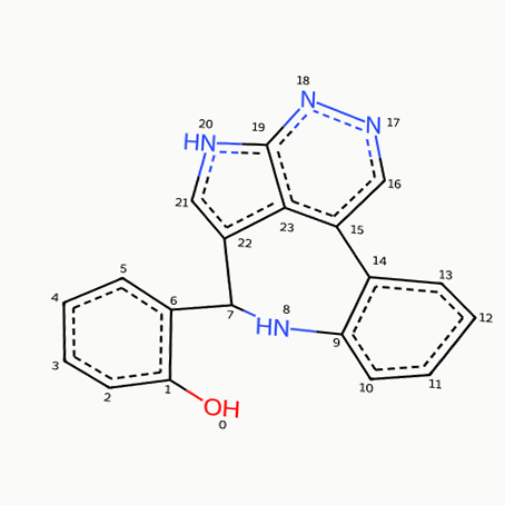 Oc1ccccc1C1Nc2ccccc2-c2cnnc3[nH]cc1c23